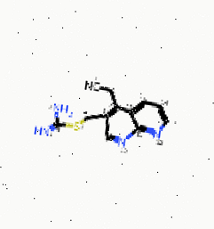 N#CCc1c(CSC(=N)N)cnc2ncccc12